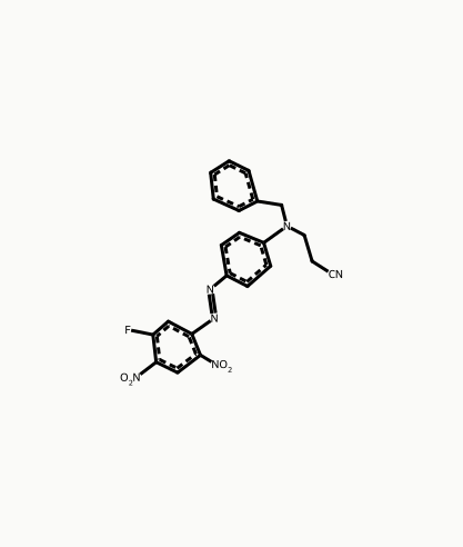 N#CCCN(Cc1ccccc1)c1ccc(/N=N/c2cc(F)c([N+](=O)[O-])cc2[N+](=O)[O-])cc1